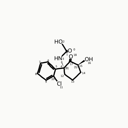 O=C(O)N[C@@]1(c2ccccc2Cl)CCC[C@H](O)C1=O